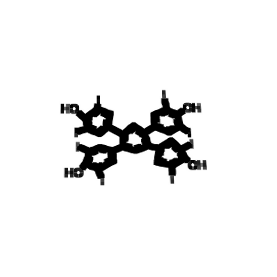 Oc1c(I)cc(-c2cc(-c3cc(I)c(O)c(I)c3)c(-c3cc(I)c(O)c(I)c3)cc2-c2cc(I)c(O)c(I)c2)cc1I